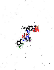 CC(=O)c1cn(CC(=O)N2C[C@H](F)C[C@H]2C(=O)NCc2cccc(Cl)c2F)c2cc(P(=O)(O)S)ccc12